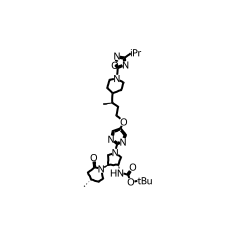 CC(C)c1noc(N2CCC([C@H](C)CCOc3cnc(N4C[C@H](NC(=O)OC(C)(C)C)[C@@H](N5CC[C@H](C)CC5=O)C4)nc3)CC2)n1